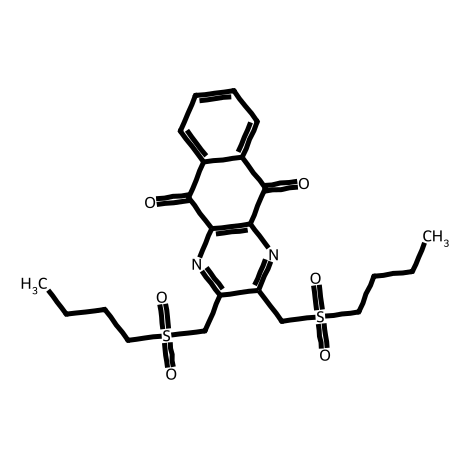 CCCCS(=O)(=O)Cc1nc2c(nc1CS(=O)(=O)CCCC)C(=O)c1ccccc1C2=O